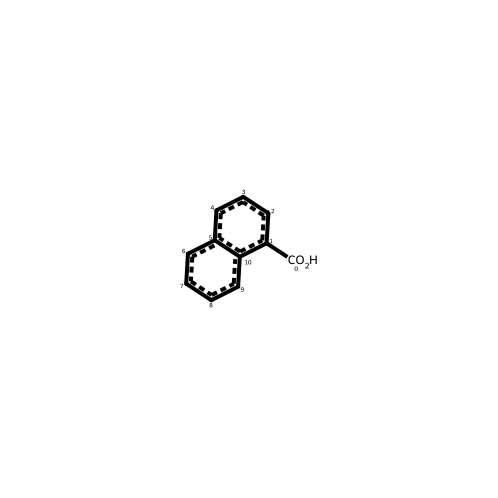 O=C(O)c1[c]ccc2ccccc12